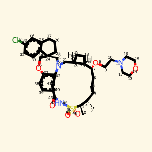 C[C@@H]1[C@@H](C)/C=C/C[C@H](OCCN2CCOCC2)[C@@H]2CC[C@H]2CN2C[C@@]3(CCCc4cc(Cl)ccc43)COc3ccc(cc32)C(=O)NS1(=O)=O